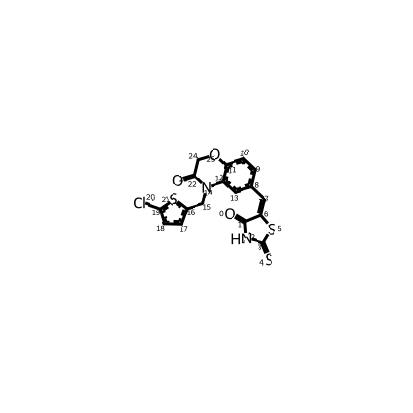 O=C1NC(=S)SC1=Cc1ccc2c(c1)N(Cc1ccc(Cl)s1)C(=O)CO2